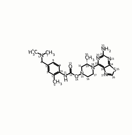 Cc1cc(CN(C)C)ccc1NC(=O)ON1CCN(c2nc(N)nc3scnc23)[C@@H](C)C1